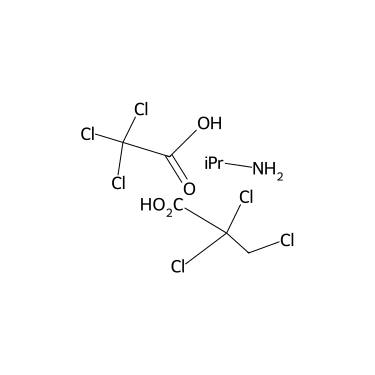 CC(C)N.O=C(O)C(Cl)(Cl)CCl.O=C(O)C(Cl)(Cl)Cl